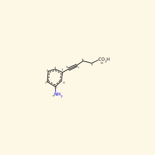 Nc1cccc(C#CCCC(=O)O)c1